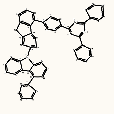 c1ccc(-c2nc(-c3ccccc3)nc(-c3ccc(-c4cccc5c4-c4ccc(-n6c7ccccc7c7c(-c8ccccc8)cccc76)cc4C5)cc3)n2)cc1